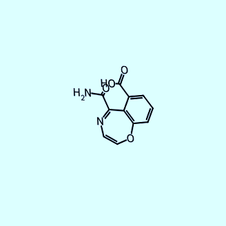 NC(=O)C1=NC=COc2cccc(C(=O)O)c21